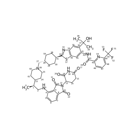 C[C@H](CNc1cccc2c1C(=O)N(C1CCC(=O)NC1=O)C2=O)C1CCN(C[C@H]2CC[C@H](c3nc4cc(C(C)(C)O)c(NC(=O)c5cccc(C(F)(F)F)n5)cc4s3)CC2)CC1